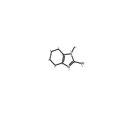 CC(C)c1nc2c(n1C)CCCC2